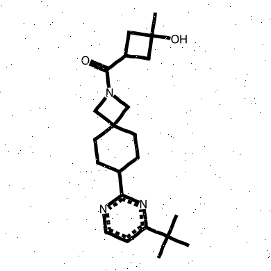 CC1(O)CC(C(=O)N2CC3(CCC(c4nccc(C(C)(C)C)n4)CC3)C2)C1